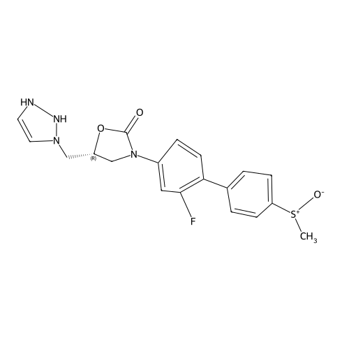 C[S+]([O-])c1ccc(-c2ccc(N3C[C@H](CN4C=CNN4)OC3=O)cc2F)cc1